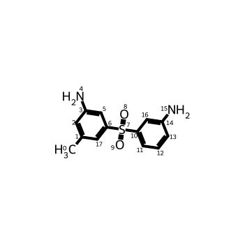 Cc1cc(N)cc(S(=O)(=O)c2cccc(N)c2)c1